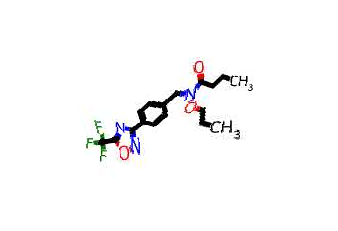 CCCON(Cc1ccc(-c2noc(C(F)(F)F)n2)cc1)C(=O)CCC